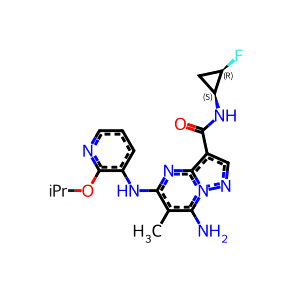 Cc1c(Nc2cccnc2OC(C)C)nc2c(C(=O)N[C@H]3C[C@H]3F)cnn2c1N